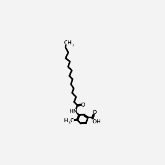 CCCCCCCCCCCCCCC(=O)Nc1cc(C(=O)O)ccc1C